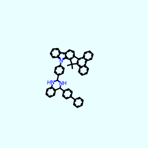 CC1(C)c2c(c3ccccc3c3ccccc23)-c2ccc3c4ccccc4n(-c4ccc(C5Nc6ccccc6C(c6ccc(-c7ccccc7)cc6)N5)cc4)c3c21